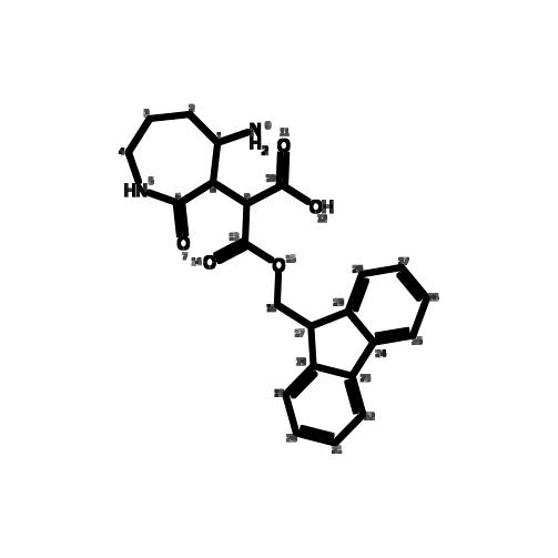 NC1CCCNC(=O)C1C(C(=O)O)C(=O)OCC1c2ccccc2-c2ccccc21